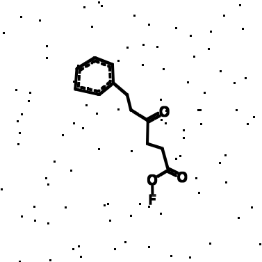 O=C(CCC(=O)OF)CCc1ccccc1